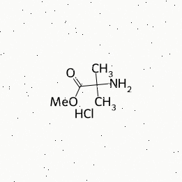 COC(=O)C(C)(C)N.Cl